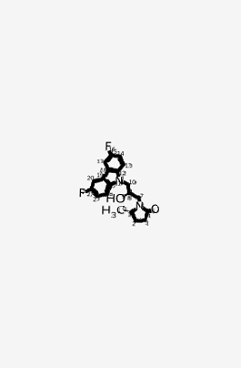 C[C@H]1CCC(=O)N1C[C@@H](O)Cn1c2ccc(F)cc2c2cc(F)ccc21